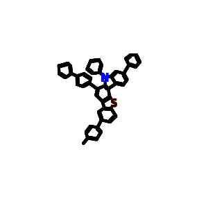 Cc1ccc(-c2ccc3sc4c(cc(-c5ccc(-c6ccccc6)cc5)c5c4c4ccc(-c6ccccc6)cc4n5-c4ccccc4)c3c2)cc1